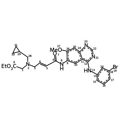 CCOC(=O)CN(CC=CC(=O)Nc1cc2c(Nc3cccc(Br)c3)ncnc2cc1OC)CC1CC1